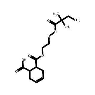 CCC(C)(C)C(=O)OOCCOC(=O)C1CC=CCC1C(=O)O